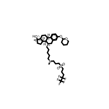 CN(CCCCC[C@@H]1Cc2cc(OC3CCCCO3)ccc2[C@H]2CC[C@@]3(C)[C@@H](CC[C@]3(C)O)[C@H]12)CCCS(=O)(=O)CCCC(F)(F)C(F)(F)F